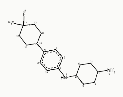 NC1CCC(Nc2ccc(C3CCC(F)(F)CC3)cc2)CC1